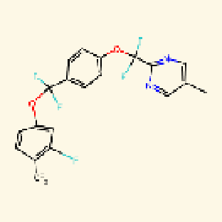 Cc1cnc(C(F)(F)Oc2ccc(C(F)(F)Oc3ccc(C(F)(F)F)c(F)c3)cc2)nc1